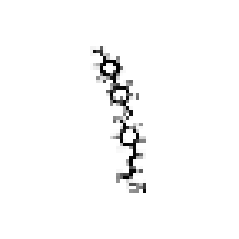 CCc1ccc(C2CCC(OCC3CCC(C=CC=C(F)C#N)CC3)CC2)cc1